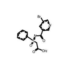 O=C(O)CS(=O)(=NC(=O)c1cncc(Br)c1)c1ccccc1